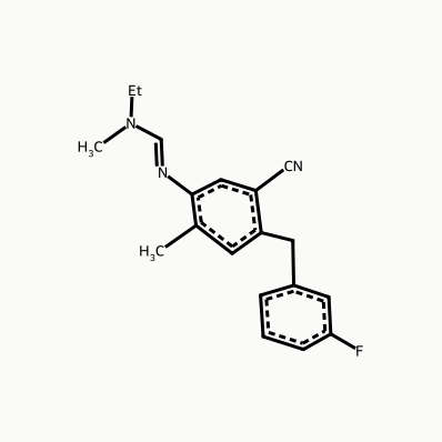 CCN(C)C=Nc1cc(C#N)c(Cc2cccc(F)c2)cc1C